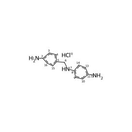 Cl.Nc1ccc(CNc2ccc(N)cc2)cc1